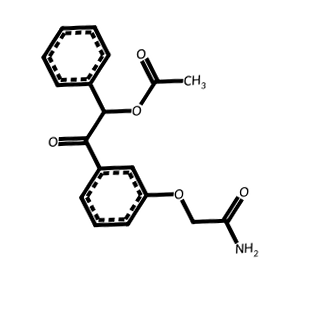 CC(=O)OC(C(=O)c1cccc(OCC(N)=O)c1)c1ccccc1